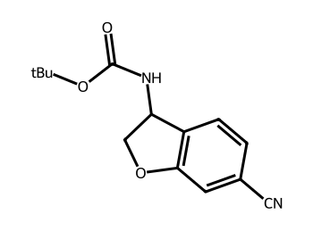 CC(C)(C)OC(=O)NC1COc2cc(C#N)ccc21